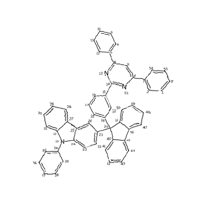 c1ccc(-c2cc(-c3ccccc3)nc(-c3cccc(C4(c5ccc6c(c5)c5ccccc5n6-c5ccccc5)c5ccccc5-c5ccccc54)c3)n2)cc1